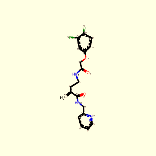 C=C(CCNC(=O)COc1ccc(Cl)c(F)c1)C(=O)NCc1ccccn1